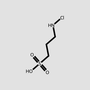 O=S(=O)(O)CCCNCl